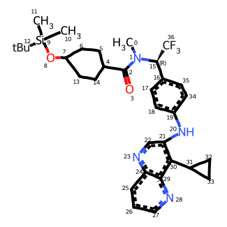 CN(C(=O)C1CCC(O[Si](C)(C)C(C)(C)C)CC1)[C@H](c1ccc(Nc2cnc3cccnc3c2C2CC2)cc1)C(F)(F)F